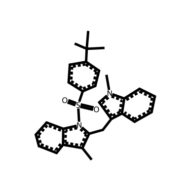 Cc1c(Cc2cn(C)c3ccccc23)n(S(=O)(=O)c2ccc(C(C)(C)C)cc2)c2ccccc12